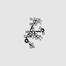 CC(C)(C)OC(=O)NCCCC[C@H](NC(=O)CNC(=O)c1cccc(OCC(=O)O)c1)C(=O)N[C@@H](CCCCN1C(=O)C=CC1=O)C(=O)OC(C)(C)C